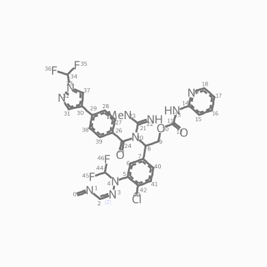 C=N/C=N\N(c1cc(C(COC(=O)Nc2ccccn2)N(C(=N)NC)C(=O)c2ccc(-c3cnn(C(F)F)c3)cc2)ccc1Cl)C(F)F